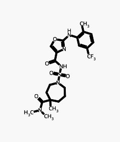 Cc1ccc(C(F)(F)F)cc1Nc1nc(C(=O)NS(=O)(=O)N2CCCC(C)(C(=O)N(C)C)CC2)co1